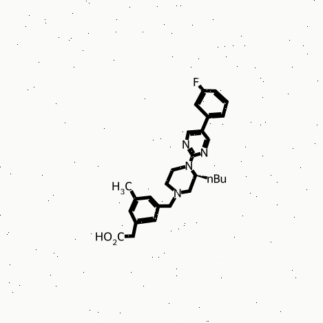 CCCC[C@H]1CN(Cc2cc(C)cc(CC(=O)O)c2)CCN1c1ncc(-c2cccc(F)c2)cn1